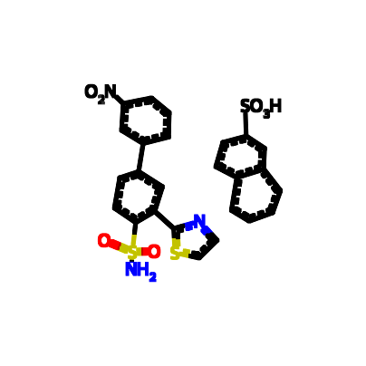 NS(=O)(=O)c1ccc(-c2cccc([N+](=O)[O-])c2)cc1-c1nccs1.O=S(=O)(O)c1ccc2ccccc2c1